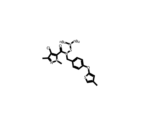 CCCCN(CCCC)SN(Cc1ccc(Oc2cc(C)cs2)cc1)C(=O)c1c(Cl)c(C)nn1C